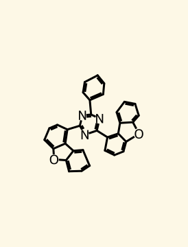 c1ccc(-c2nc(-c3cccc4oc5ccccc5c34)nc(-c3cccc4oc5ccccc5c34)n2)cc1